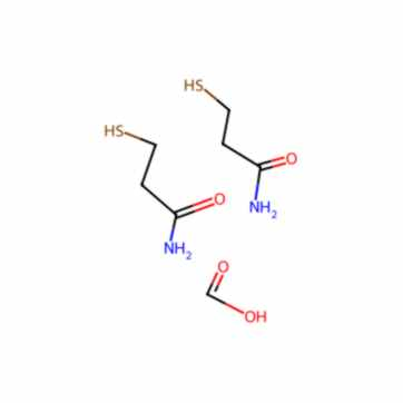 NC(=O)CCS.NC(=O)CCS.O=CO